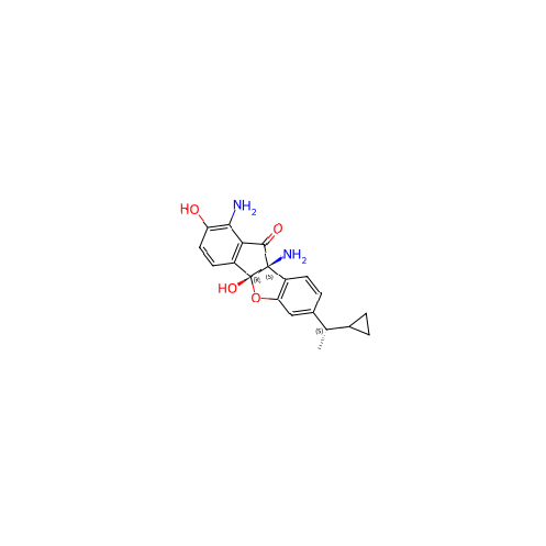 C[C@H](c1ccc2c(c1)O[C@]1(O)c3ccc(O)c(N)c3C(=O)[C@]21N)C1CC1